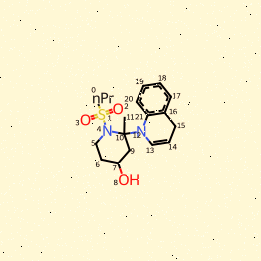 CCCS(=O)(=O)N1CCC(O)CC1(C)N1C=CCc2ccccc21